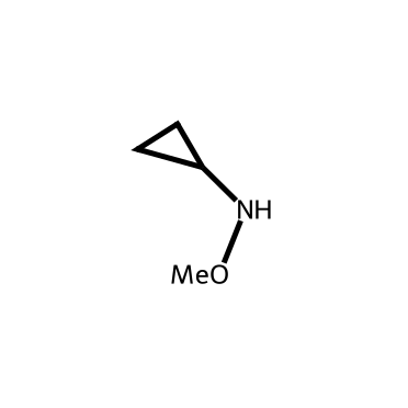 CONC1CC1